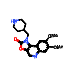 COc1cc2ncc3oc(=O)n(CC4CCNCC4)c3c2cc1OC